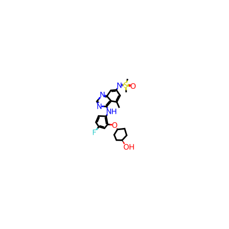 Cc1cc(N=S(C)(C)=O)cc2ncnc(Nc3ccc(F)cc3O[C@H]3CC[C@H](O)CC3)c12